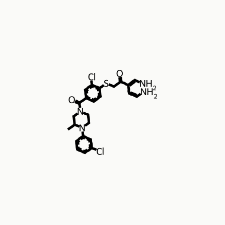 CC1CN(C(=O)c2ccc(SCC(=O)C(/C=C\N)=C/N)c(Cl)c2)CCN1c1cccc(Cl)c1